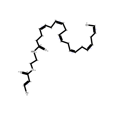 CC/C=C\C/C=C\C/C=C\C/C=C\C/C=C\C/C=C\CCC(=O)NCCOC(=O)/C=C/C(C)=O